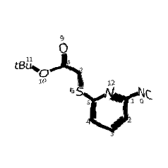 [C-]#[N+]c1cccc(SCC(=O)OC(C)(C)C)n1